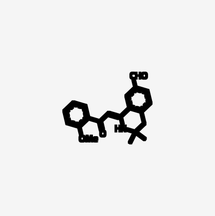 COc1ccccc1C(=O)/C=C1\NC(C)(C)Cc2ccc(C=O)cc21